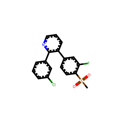 CS(=O)(=O)c1ccc(-c2cccnc2-c2cccc(Cl)c2)cc1F